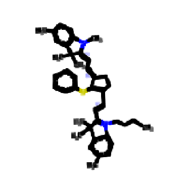 CCCC[N+]1=C(/C=C/C2=C(Sc3ccccc3)C(=C/C=C3/N(C)c4ccc(C)cc4C3(C)C)/CC2)C(C)(C)c2cc(C)ccc21